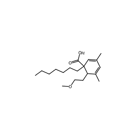 CCCCCCCC1(C(=O)O)C=C(C)C=C(C)C1CCOC